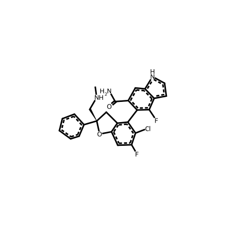 CNC[C@@]1(c2ccccc2)Cc2c(cc(F)c(Cl)c2-c2c(C(N)=O)cc3[nH]ccc3c2F)O1